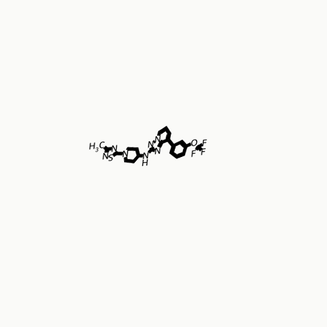 Cc1nsc(N2CCC(Nc3nc4c(-c5cccc(OC(F)(F)F)c5)cccn4n3)CC2)n1